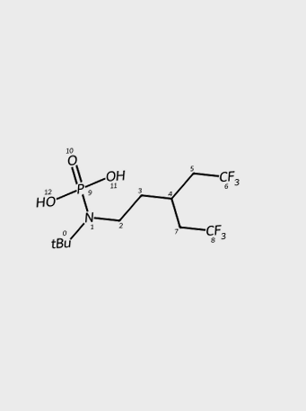 CC(C)(C)N(CCC(CC(F)(F)F)CC(F)(F)F)P(=O)(O)O